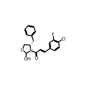 O=C(/C=C/c1ccc(Cl)c(F)c1)N1C(O)OC[C@@H]1Cc1ccccc1